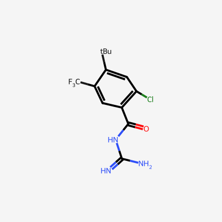 CC(C)(C)c1cc(Cl)c(C(=O)NC(=N)N)cc1C(F)(F)F